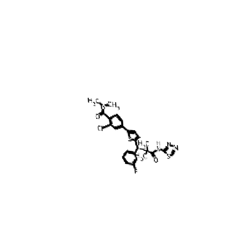 CN(C)C(=O)c1ccc(-c2ccc([C@H](c3cccc(F)c3)C(C)(C)C(=O)Nc3nncs3)s2)cc1Cl